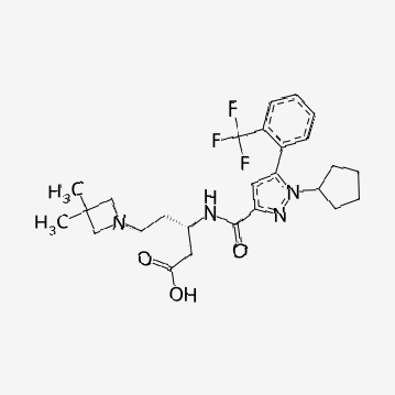 CC1(C)CN(CC[C@@H](CC(=O)O)NC(=O)c2cc(-c3ccccc3C(F)(F)F)n(C3CCCC3)n2)C1